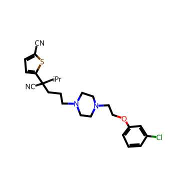 CC(C)C(C#N)(CCCN1CCN(CCOc2cccc(Cl)c2)CC1)c1ccc(C#N)s1